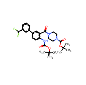 CC(C)(C)OC(=O)Nc1ccc(-c2cccc(C(F)F)c2)cc1C(=O)N1CCN(C(=O)OC(C)(C)C)CC1